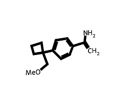 C=C(N)c1ccc(C2(COC)CCC2)cc1